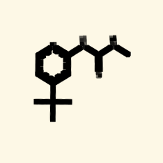 CNC(=S)Nc1cc(C(C)(C)C)ccn1